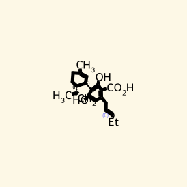 C=C(C)[C@@H]1CCC(C)=C[C@H]1c1c(O)cc(C/C=C/CC)c(C(=O)O)c1O